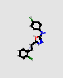 Brc1ccc(Nc2nnc(/C=C/c3ccccc3Br)o2)cc1